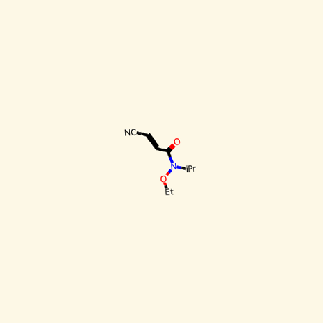 CCON(C(=O)/C=C/C#N)C(C)C